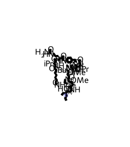 C=C/C=C(\C=C)[C@H](O)[C@@H](C)NC(=O)[C@H](C)[C@@H](OC)[C@@H]1CCCN1C(=O)C[C@@H](OC)[C@H]([C@@H](C)CC)N(C)C(=O)[C@@H](NC(=O)[C@H](C(C)C)N(C)C(=O)OCc1ccc(NC(=O)[C@H](CCCNC(N)=O)NC(=O)[C@@H](NC(=O)CCCCCON)C(C)C)cc1)C(C)C